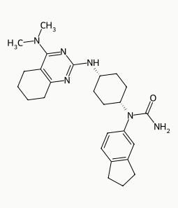 CN(C)c1nc(N[C@H]2CC[C@@H](N(C(N)=O)c3ccc4c(c3)CCC4)CC2)nc2c1CCCC2